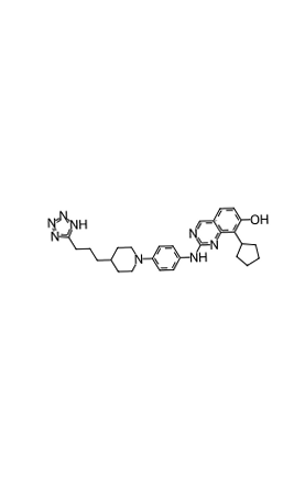 Oc1ccc2cnc(Nc3ccc(N4CCC(CCCc5nnn[nH]5)CC4)cc3)nc2c1C1CCCC1